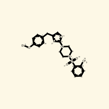 CCOc1ccc(Cc2csc(N3CCN(S(=O)(=O)c4ccccc4C(F)(F)F)CC3)n2)cc1